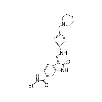 CCNC(=O)c1ccc2c(c1)NC(=O)C2=CNc1ccc(CN2CCCCC2)cc1